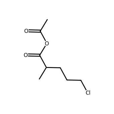 CC(=O)OC(=O)C(C)CCCCl